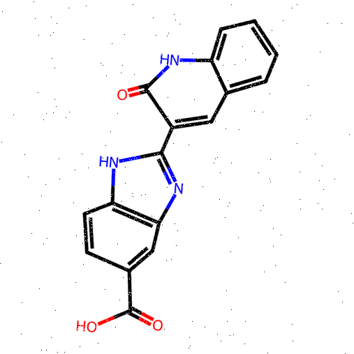 O=C(O)c1ccc2[nH]c(-c3cc4ccccc4[nH]c3=O)nc2c1